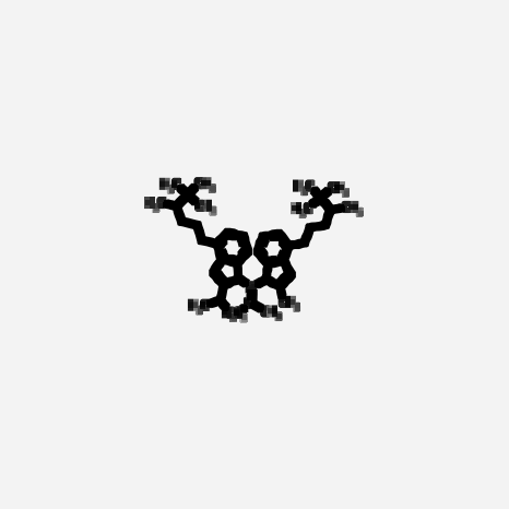 CC1=Cc2c(CCCC(C)C(C)(C)C)cccc2[CH]1[Zr]([CH]1C(C(C)C)=Cc2c(CCCC(C)C(C)(C)C)cccc21)=[Si](C)C